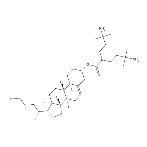 CC(C)CCC[C@@H](C)[C@H]1CC[C@H]2[C@@H]3CC=C4C[C@@H](OC(=O)N(CCC(C)(C)N)CCC(C)(C)N)CC[C@]4(C)[C@H]3CC[C@]12C